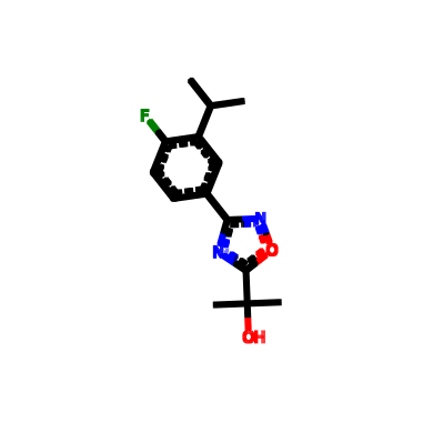 CC(C)c1cc(-c2noc(C(C)(C)O)n2)ccc1F